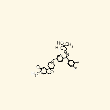 Cn1cc2c(cc1=O)C1(CCN(Cc3ccc(/C(=N\OCC(C)(C)O)c4ccc(F)c(F)c4)nc3)CC1)OC2